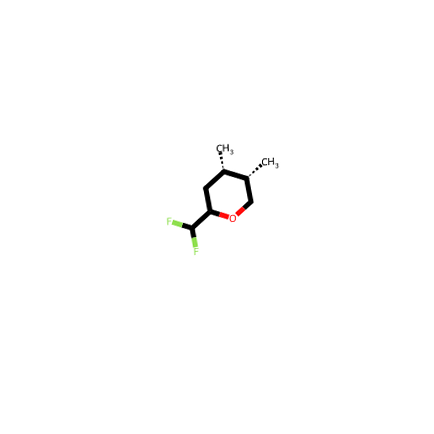 C[C@@H]1COC(C(F)F)C[C@@H]1C